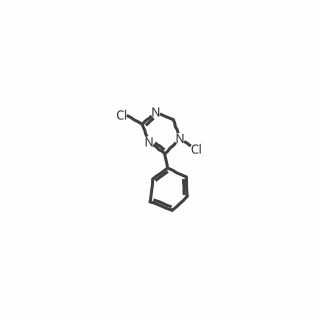 ClC1=NCN(Cl)C(c2ccccc2)=N1